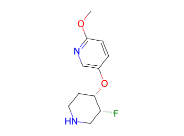 COc1ccc(O[C@H]2CCNC[C@H]2F)cn1